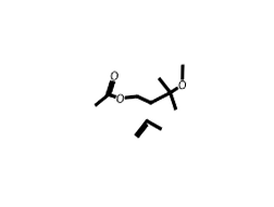 C=CC.COC(C)(C)CCOC(C)=O